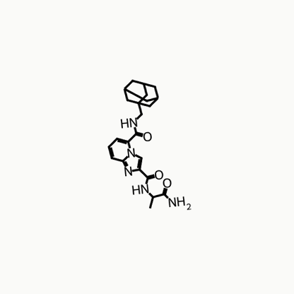 CC(NC(=O)c1cn2c(C(=O)NCC34CC5CC(CC(C5)C3)C4)cccc2n1)C(N)=O